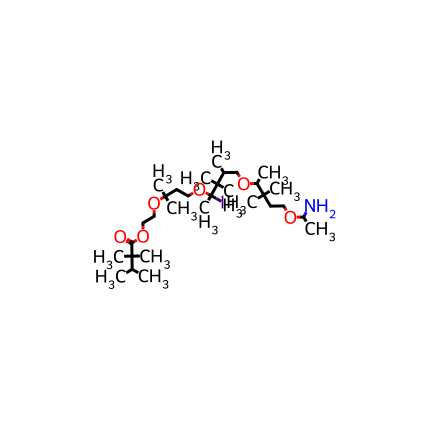 CC(N)OCCC(C)(C)C(C)OCC(C)C(C)(C)C(C)(I)OCCC(C)(C)OCCOC(=O)C(C)(C)C(C)C